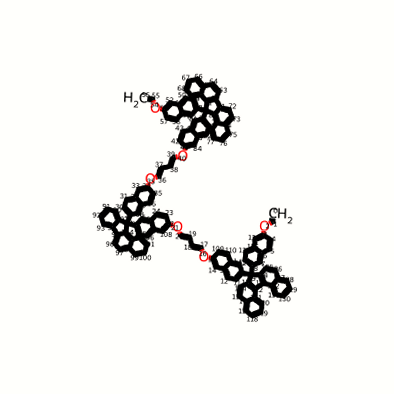 C=COc1ccc2cc(C3(c4ccc5cc(O/C=C/C=C/Oc6ccc7cc(C8(c9ccc%10cc(O/C=C/C=C/Oc%11ccc%12cc(C%13(c%14ccc%15cc(OC=C)ccc%15c%14)c%14c(ccc%15ccccc%14%15)-c%14ccc%15ccccc%15c%14%13)ccc%12c%11)ccc%10c9)c9ccccc9-c9ccc%10ccccc%10c98)ccc7c6)ccc5c4)c4ccc5ccccc5c4-c4c3ccc3ccccc43)ccc2c1